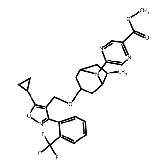 COC(=O)c1cnc(N2C3CC(OCc4c(-c5ccccc5C(F)(F)F)noc4C4CC4)CC2[C@H](C)C3)cn1